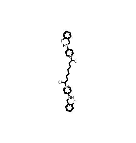 Fc1ccccc1CNc1cc[n+](C(Cl)CCCCCCC(Cl)[n+]2ccc(NCc3ccccc3F)cc2)cc1